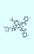 CC(C)CNS(=O)(=O)c1cc2c(c3cnc(C4CC4)cc13)[C@H](NC(=O)c1ccccc1)C[C@H]2NC(=O)c1ccccc1